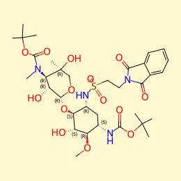 CO[C@H]1[C@H](O)[C@@H](O[C@H]2OC[C@](C)(O)[C@H](N(C)C(=O)OC(C)(C)C)[C@H]2O)[C@H](NS(=O)(=O)CCN2C(=O)c3ccccc3C2=O)C[C@@H]1NC(=O)OC(C)(C)C